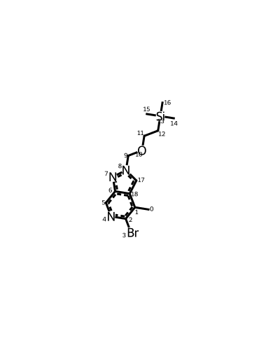 Cc1c(Br)ncc2nn(COCC[Si](C)(C)C)cc12